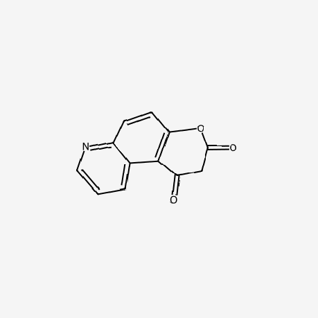 O=C1CC(=O)c2c(ccc3ncccc23)O1